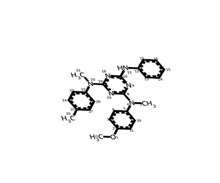 COc1ccc(N(C)c2nc(Nc3ccccc3)nc(N(C)c3ccc(C)cc3)n2)cc1